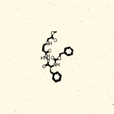 COC(=O)CN/C=C\C(=O)NNC(=O)[C@H](Cc1ccccc1)NC(=O)OCc1ccccc1